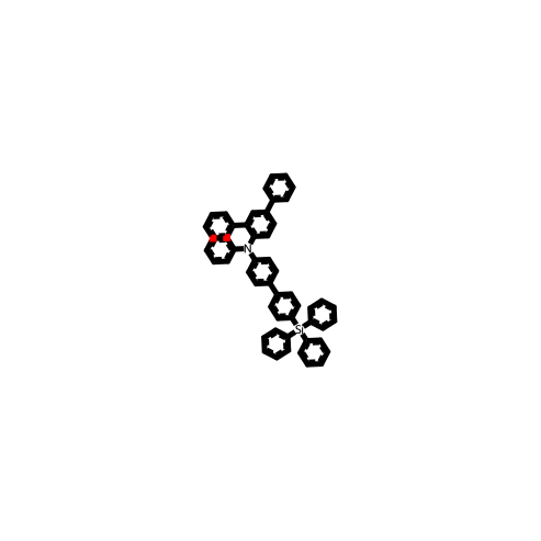 c1ccc(-c2ccc(N(c3ccccc3)c3ccc(-c4ccc([Si](c5ccccc5)(c5ccccc5)c5ccccc5)cc4)cc3)c(-c3ccccc3)c2)cc1